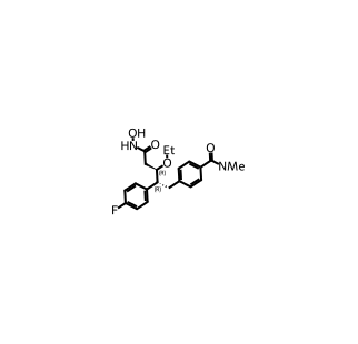 CCO[C@H](CC(=O)NO)[C@H](Cc1ccc(C(=O)NC)cc1)c1ccc(F)cc1